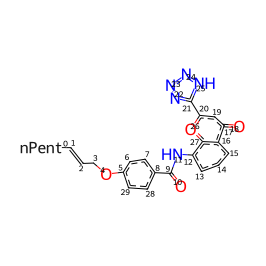 CCCCC/C=C/COc1ccc(C(=O)Nc2cccc3c(=O)cc(-c4nnn[nH]4)oc23)cc1